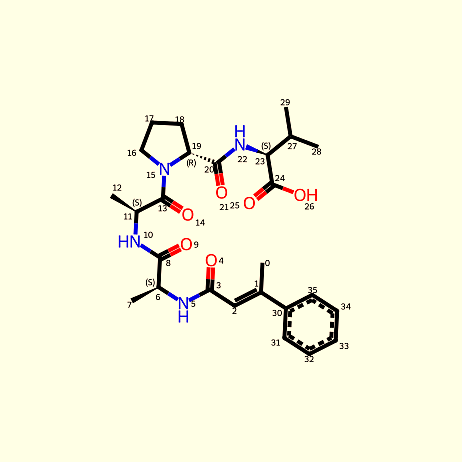 CC(=CC(=O)N[C@@H](C)C(=O)N[C@@H](C)C(=O)N1CCC[C@@H]1C(=O)N[C@H](C(=O)O)C(C)C)c1ccccc1